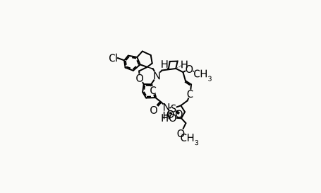 COCC(O)CC1CC/C=C/C(OC)[C@@H]2CC[C@H]2CN2C[C@@]3(CCCc4cc(Cl)ccc43)COc3ccc(cc32)C(=O)NS1(=O)=O